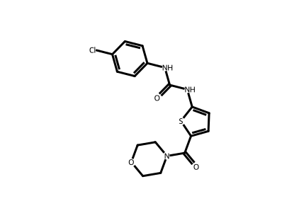 O=C(Nc1ccc(Cl)cc1)Nc1ccc(C(=O)N2CCOCC2)s1